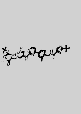 Cc1cc(-c2ccnc(N/C(C=N)=C/NC[C@H](NC(=O)OC(C)(C)C)C(=O)O)n2)ccc1CNC(=O)c1cnc(C(C)(C)C)s1